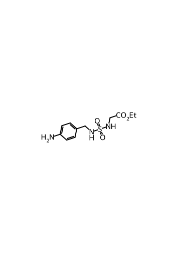 CCOC(=O)CNS(=O)(=O)NCc1ccc(N)cc1